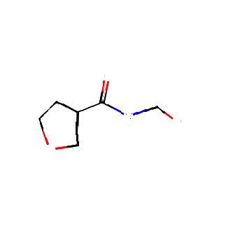 O=C(NCO)C1CCOC1